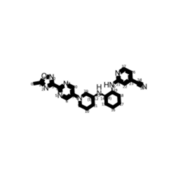 Cc1nc(-c2ncc(N3CCC[C@H](N[C@@H]4CCCC[C@H]4Nc4cc(C#N)ccn4)C3)cn2)no1